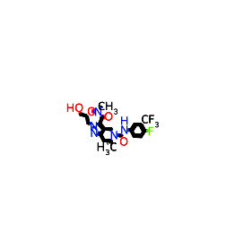 C[C@@H]1Cc2nn3c(c2CN1C(=O)Nc1ccc(F)c(C(F)(F)F)c1)C(=O)N(C)OC(CO)C3